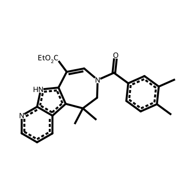 CCOC(=O)C1=CN(C(=O)c2ccc(C)c(C)c2)CC(C)(C)c2c1[nH]c1ncccc21